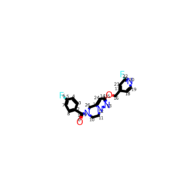 O=C(c1ccc(F)cc1)N1CCn2nc(OCc3ccnc(F)c3)cc2C1